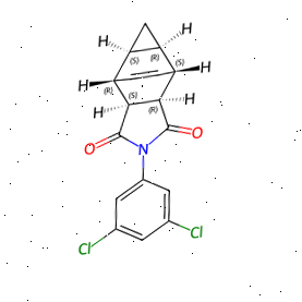 O=C1[C@@H]2[C@@H]3C=C[C@@H]([C@H]4C[C@@H]34)[C@@H]2C(=O)N1c1cc(Cl)cc(Cl)c1